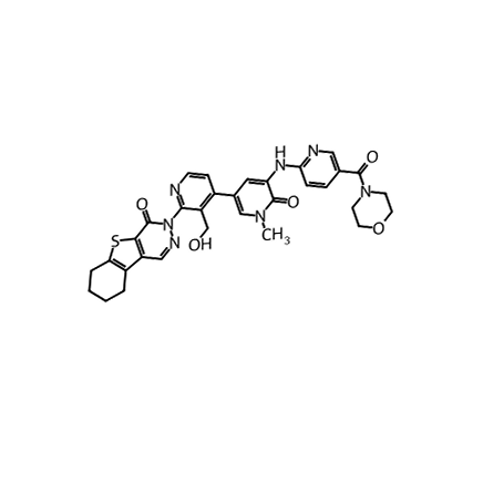 Cn1cc(-c2ccnc(-n3ncc4c5c(sc4c3=O)CCCC5)c2CO)cc(Nc2ccc(C(=O)N3CCOCC3)cn2)c1=O